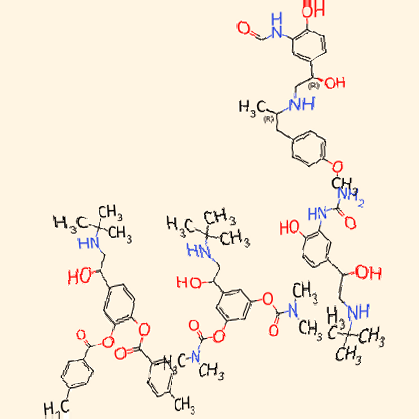 CC(C)(C)NCC(O)c1ccc(O)c(NC(N)=O)c1.CN(C)C(=O)Oc1cc(OC(=O)N(C)C)cc(C(O)CNC(C)(C)C)c1.COc1ccc(C[C@@H](C)NC[C@H](O)c2ccc(O)c(NC=O)c2)cc1.Cc1ccc(C(=O)Oc2ccc(C(O)CNC(C)(C)C)cc2OC(=O)c2ccc(C)cc2)cc1